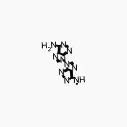 CNc1ncnc2c1ncn2-n1cnc2c(N)ncnc21